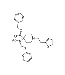 CC(=O)N(OCc1ccccc1)C1(C(=O)OCc2ccccc2)CCN(CCc2cccs2)CC1